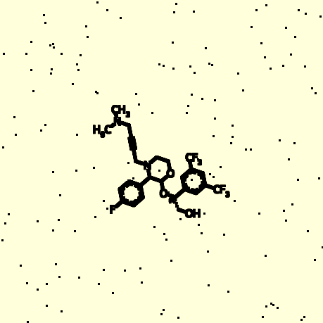 CN(C)CC#CCN1CCOC(O[C@@H](CO)c2cc(C(F)(F)F)cc(C(F)(F)F)c2)C1c1ccc(F)cc1